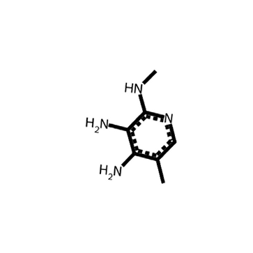 CNc1ncc(C)c(N)c1N